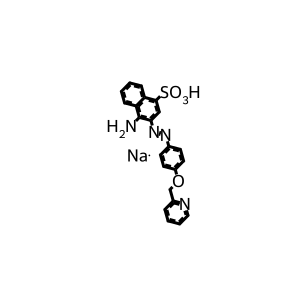 Nc1c(N=Nc2ccc(OCc3ccccn3)cc2)cc(S(=O)(=O)O)c2ccccc12.[Na]